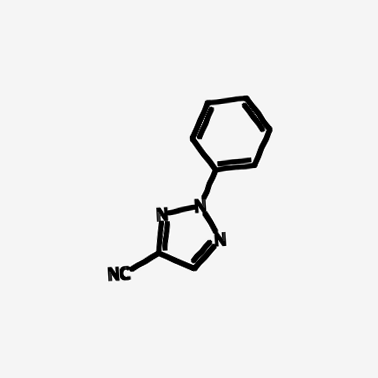 N#Cc1cnn(-c2ccccc2)n1